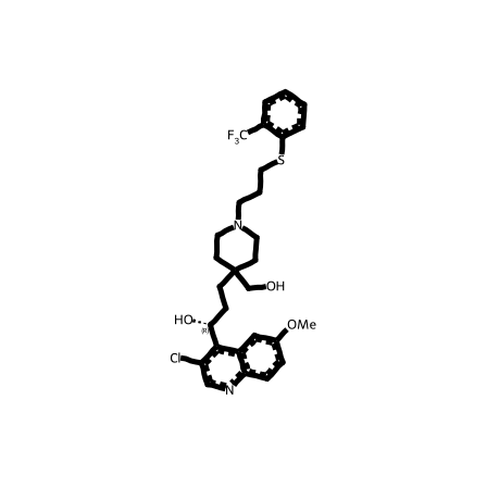 COc1ccc2ncc(Cl)c([C@H](O)CCC3(CO)CCN(CCCSc4ccccc4C(F)(F)F)CC3)c2c1